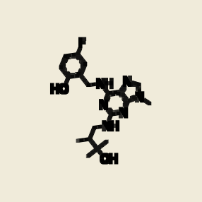 CC(CNc1nc(NCc2cc(F)ccc2O)c2ncn(C)c2n1)C(C)(C)O